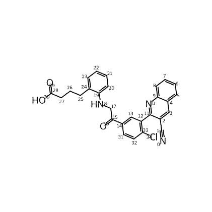 N#Cc1cc2ccccc2nc1-c1cc(C(=O)CNc2ccccc2CCCC(=O)O)ccc1Cl